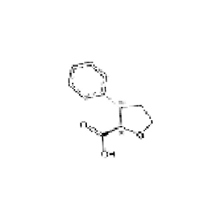 O=C(O)[C@@H]1OCC[C@H]1c1ccccc1